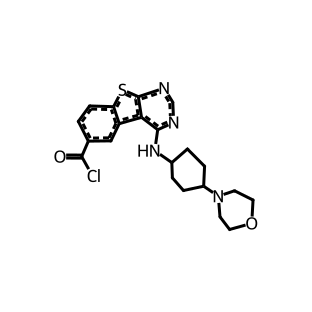 O=C(Cl)c1ccc2sc3ncnc(NC4CCC(N5CCOCC5)CC4)c3c2c1